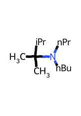 CCCCN(CCC)C(C)(C)C(C)C